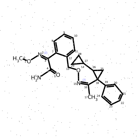 CO/N=C(\C(N)=O)c1ccccc1CO/N=C(/C)C1(c2ccccc2)CC1C1CC1